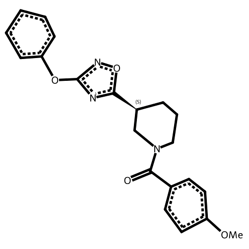 COc1ccc(C(=O)N2CCC[C@H](c3nc(Oc4ccccc4)no3)C2)cc1